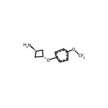 N[C@H]1C[C@H](Oc2ccc(OC(F)(F)F)cc2)C1